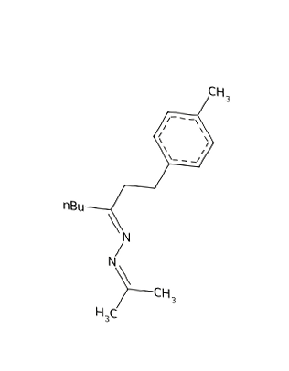 CCCCC(CCc1ccc(C)cc1)=NN=C(C)C